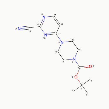 CC(C)(C)OC(=O)N1CCN(c2ccnc(C#N)n2)CC1